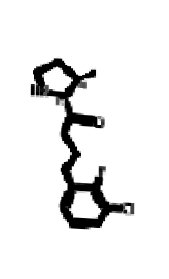 C[C@@H]1CCN[C@@H]1C(=O)CCCc1cccc(Cl)c1F